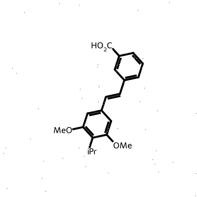 COc1cc(C=Cc2cccc(C(=O)O)c2)cc(OC)c1C(C)C